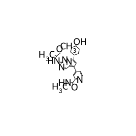 CNC(=O)c1cc(-c2cc([C@H]3CC[C@H](O)CC3)n3nc(N[C@@H](C)COC)ncc23)ccn1